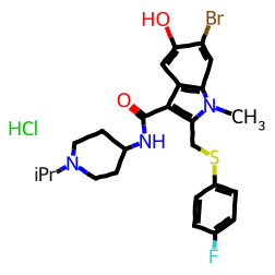 CC(C)N1CCC(NC(=O)c2c(CSc3ccc(F)cc3)n(C)c3cc(Br)c(O)cc23)CC1.Cl